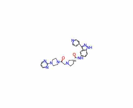 O=C(Nc1ccc2[nH]nc(-c3ccncc3)c2c1)[C@@H]1CCN(CC(=O)N2CCN(c3ncccn3)CC2)C1